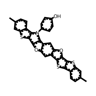 Cc1ccc2c(c1)sc1c3oc4cc5c(cc4c3sc21)oc1c2sc3cc(C)ccc3c2n(-c2ccc(O)cc2)c51